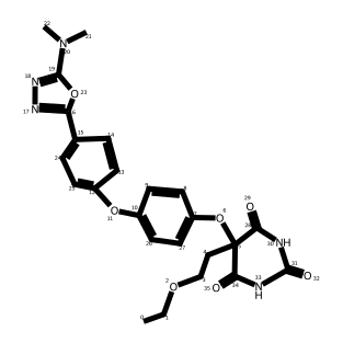 CCOCCC1(Oc2ccc(Oc3ccc(-c4nnc(N(C)C)o4)cc3)cc2)C(=O)NC(=O)NC1=O